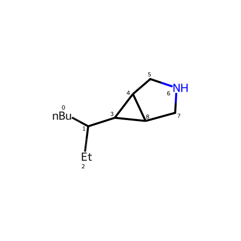 CCCCC(CC)C1C2CNCC21